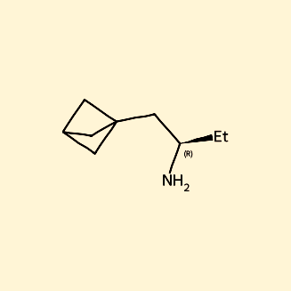 CC[C@@H](N)CC12CC(C1)C2